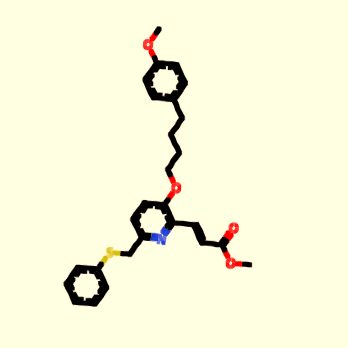 COC(=O)C=Cc1nc(CSc2ccccc2)ccc1OCCCCc1ccc(OC)cc1